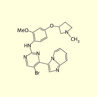 COc1cc(OC2CCN(C)C2)ccc1Nc1ncc(Br)c(-c2cnc3ccccn23)n1